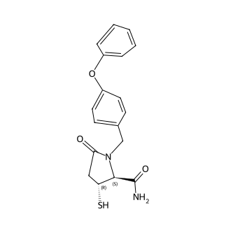 NC(=O)[C@H]1[C@H](S)CC(=O)N1Cc1ccc(Oc2ccccc2)cc1